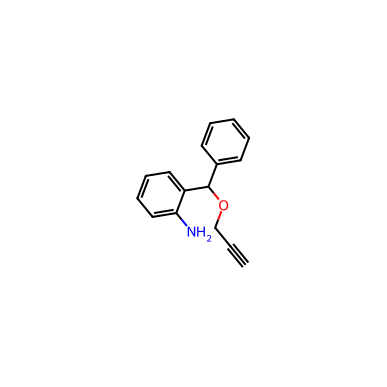 C#CCOC(c1ccccc1)c1ccccc1N